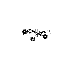 CCCc1nc(C(=O)NCCN2CCN(c3cccc(Cl)c3Cl)CC2)cn1-c1ccccc1.Cl.Cl